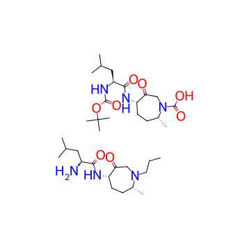 CC(C)C[C@H](NC(=O)OC(C)(C)C)C(=O)N[C@H]1CC[C@@H](C)N(C(=O)O)CC1=O.CCCN1CC(=O)[C@@H](NC(=O)[C@@H](N)CC(C)C)CC[C@H]1C